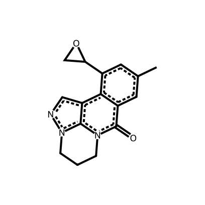 Cc1cc(C2CO2)c2c(c1)c(=O)n1c3c2cnn3CCC1